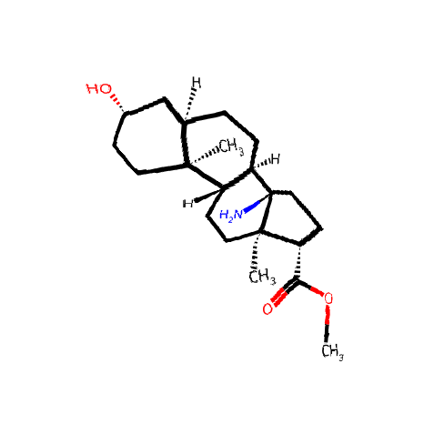 COC(=O)[C@H]1CC[C@@]2(N)[C@@H]3CC[C@@H]4C[C@@H](O)CC[C@]4(C)[C@H]3CC[C@]12C